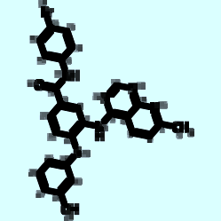 Cc1ccc2c(Nc3cc(C(=O)Nc4ccc(Br)cc4)ccc3Sc3cccc(O)c3)ncnc2n1